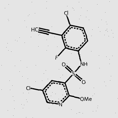 C#Cc1c(Cl)ccc(NS(=O)(=O)c2cc(Cl)cnc2OC)c1F